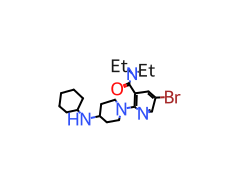 CCN(CC)C(=O)c1cc(Br)cnc1N1CCC(NC2CCCCC2)CC1